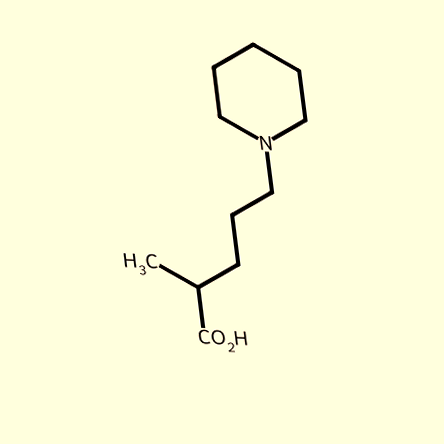 CC(CCCN1CCCCC1)C(=O)O